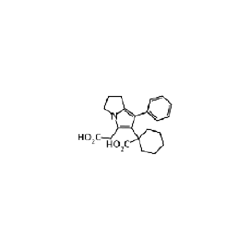 O=C(O)Cc1c(C2(C(=O)O)CCCCC2)c(-c2ccccc2)c2n1CCC2